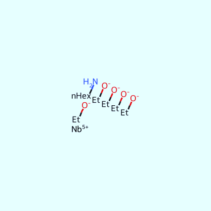 CCCCCCN.CC[O-].CC[O-].CC[O-].CC[O-].CC[O-].[Nb+5]